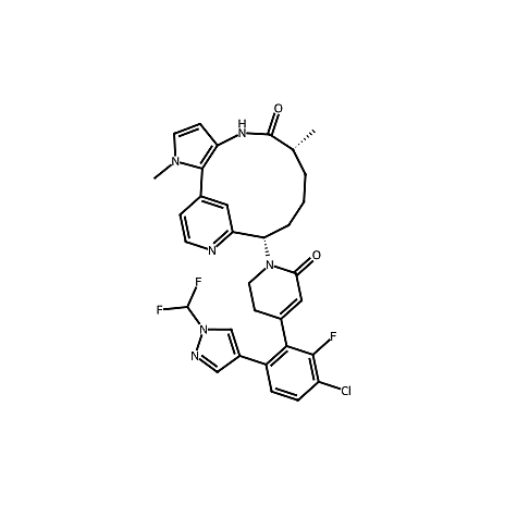 C[C@@H]1CCC[C@H](N2CCC(c3c(-c4cnn(C(F)F)c4)ccc(Cl)c3F)=CC2=O)c2cc(ccn2)-c2c(ccn2C)NC1=O